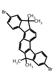 CC1(C)c2cc(Br)ccc2-c2c1ccc1c3c(ccc21)C(C)(C)c1cc(Br)ccc1-3